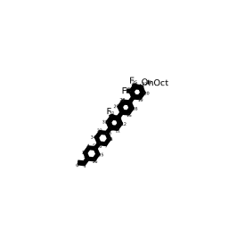 C=CC1CCC(C2CCC(c3ccc(-c4ccc(-c5ccc(OCCCCCCCC)c(F)c5F)cc4)c(F)c3)CC2)CC1